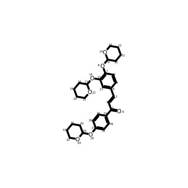 O=C(/C=C/c1ccc(OC2CCCCO2)c(OC2CCCCO2)c1)c1ccc(OC2CCCCO2)cc1